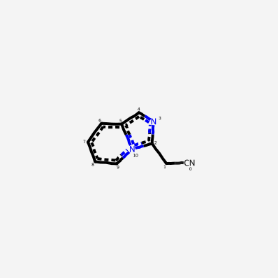 N#CCc1ncc2ccccn12